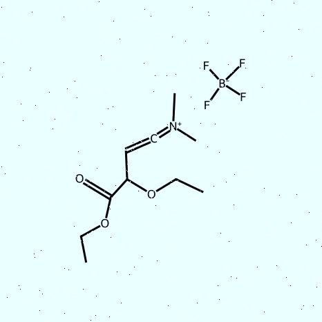 CCOC(=O)C(C=C=[N+](C)C)OCC.F[B-](F)(F)F